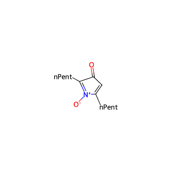 CCCCCC1=CC(=O)C(CCCCC)=[N+]1[O-]